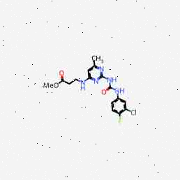 COC(=O)CCNc1cc(C)nc(NC(=O)Nc2ccc(F)c(Cl)c2)n1